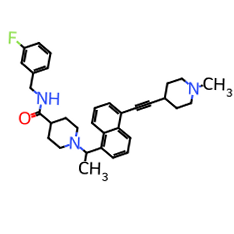 CC(c1cccc2c(C#CC3CCN(C)CC3)cccc12)N1CCC(C(=O)NCc2cccc(F)c2)CC1